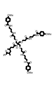 COc1ccc(C(=O)NCCCNC(=O)CCOCC(COCCC(=O)NCCCNC(=O)c2ccc(OC)cc2)(COCCC(=O)NCCCNC(=O)c2ccc(OC)cc2)NC(=O)CCC(C)CC(C)C(=O)C(C)C)cc1